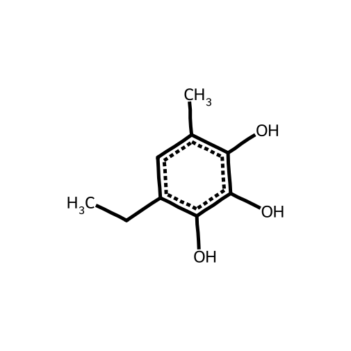 CCc1cc(C)c(O)c(O)c1O